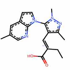 CC/C(=C\c1c(C)nn(C)c1-n1ccc2cc(C)cnc21)C(=O)O